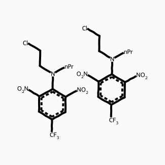 CCCN(CCCl)c1c([N+](=O)[O-])cc(C(F)(F)F)cc1[N+](=O)[O-].CCCN(CCCl)c1c([N+](=O)[O-])cc(C(F)(F)F)cc1[N+](=O)[O-]